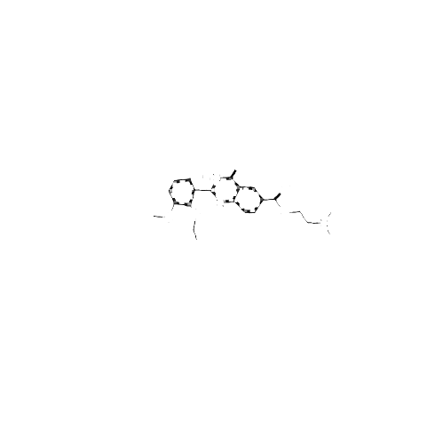 CCOc1c(OC)cccc1-c1nc2ccc(C(=O)OCCN(C)C)cc2c(=O)[nH]1